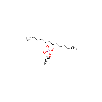 CCCCCCCCCCCC.O=P([O-])([O-])[O-].[Na+].[Na+].[Na+]